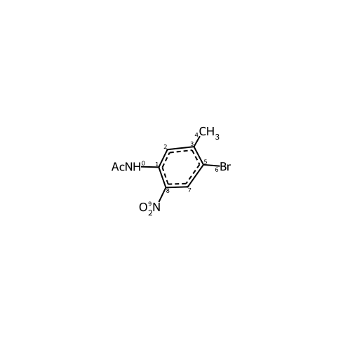 CC(=O)Nc1cc(C)c(Br)cc1[N+](=O)[O-]